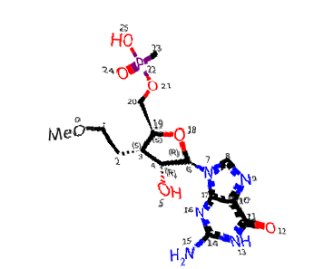 COCC[C@H]1[C@@H](O)[C@H](n2cnc3c(=O)[nH]c(N)nc32)O[C@@H]1COP(C)(=O)O